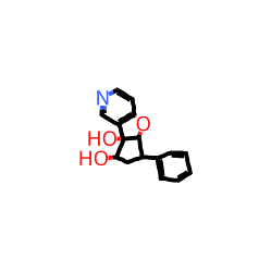 OC1CC(c2ccccc2)C2Oc3ccncc3C12O